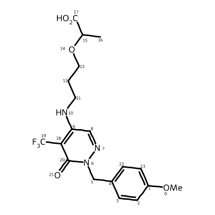 COc1ccc(Cn2ncc(NCCCOC(C)C(=O)O)c(C(F)(F)F)c2=O)cc1